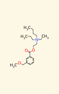 CCCC[N+](CC)(CCC)CCOC(=O)c1cccc(COC)c1